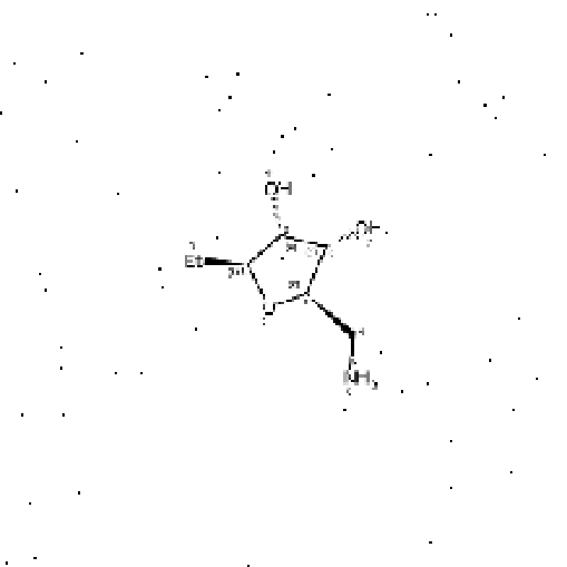 CC[C@@H]1O[C@H](CN)[C@@H](O)[C@H]1O